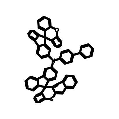 c1ccc(-c2ccc(N(c3ccc4c(c3)-c3ccccc3C43c4ccccc4Sc4cc5ccccc5cc43)c3ccc4c(c3)C3(c5ccccc5Oc5ccccc53)c3ccccc3-4)cc2)cc1